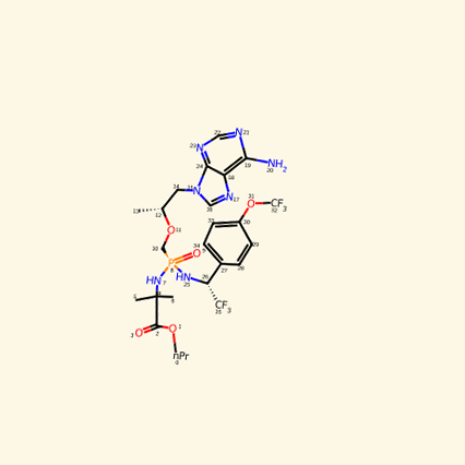 CCCOC(=O)C(C)(C)N[P@@](=O)(CO[C@H](C)Cn1cnc2c(N)ncnc21)N[C@H](c1ccc(OC(F)(F)F)cc1)C(F)(F)F